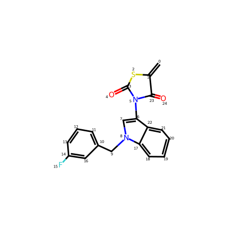 C=C1SC(=O)N(c2cn(Cc3cccc(F)c3)c3ccccc23)C1=O